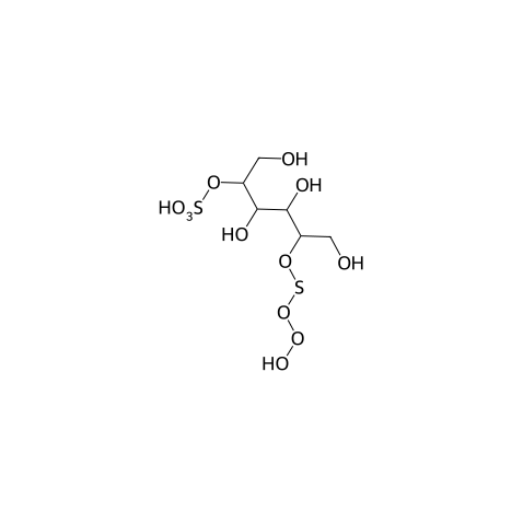 O=S(=O)(O)OC(CO)C(O)C(O)C(CO)OSOOO